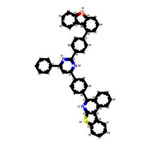 c1ccc(-c2cc(-c3ccc(-c4nc5sc6ccccc6c5c5ccccc45)cc3)nc(-c3ccc(-c4cccc5oc6ccccc6c45)cc3)n2)cc1